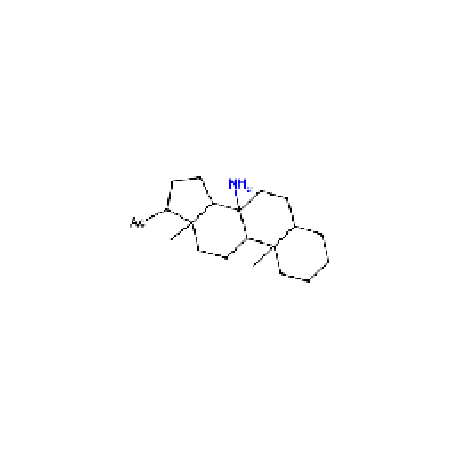 CC(=O)C1CCC2C1(C)CCC1C3(C)CCCCC3CCC12N